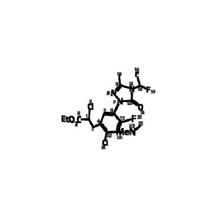 CCOC(=O)C(Cl)Cc1cc(-n2nc(C)n(C(F)F)c2=O)c(F)cc1Cl.CNC